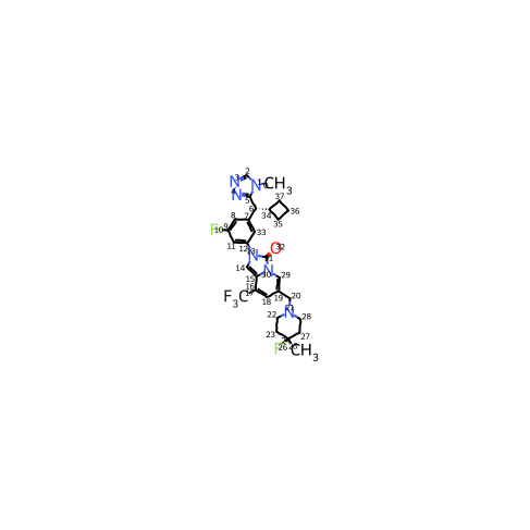 Cn1cnnc1[C@@H](c1cc(F)cc(-n2cc3c(C(F)(F)F)cc(CN4CCC(C)(F)CC4)cn3c2=O)c1)C1CCC1